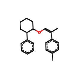 CC(=COC1CCCCC1c1ccccc1)c1ccc(C)cc1